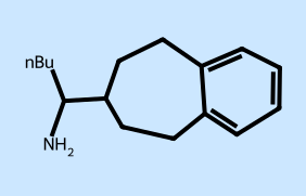 CCCCC(N)C1CCc2ccccc2CC1